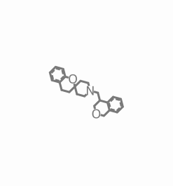 c1ccc2c(c1)CCC1(CCN(CC3COCc4ccccc43)CC1)O2